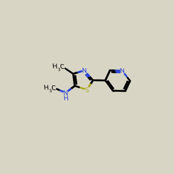 CNc1sc(-c2cccnc2)nc1C